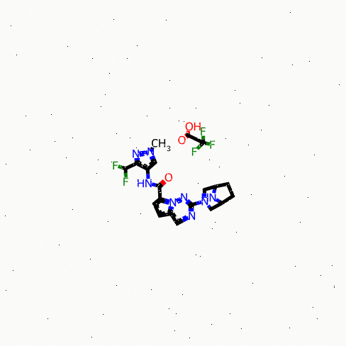 Cn1cc(NC(=O)c2ccc3cnc(N4CC5CCC(C4)N5)nn23)c(C(F)F)n1.O=C(O)C(F)(F)F